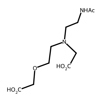 CC(=O)NCCN(CCOCC(=O)O)CC(=O)O